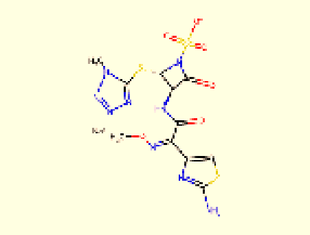 CON=C(C(=O)N[C@@H]1C(=O)N(S(=O)(=O)[O-])[C@H]1Sc1nnnn1C)c1csc(N)n1.[Na+]